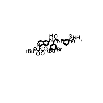 CC(C)(C)OC(=O)N(C(=O)OC(C)(C)C)c1nccc2cc(NC(C(=O)NCc3cccc(S(N)(=O)=O)c3)c3cccc(Br)c3)ccc12